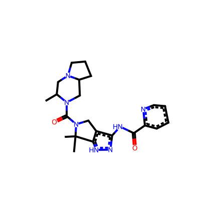 CC1CN2CCCC2CN1C(=O)N1Cc2c(NC(=O)c3ccccn3)n[nH]c2C1(C)C